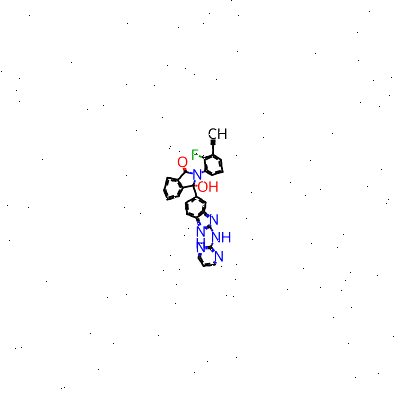 C#Cc1cccc(N2C(=O)c3ccccc3C2(O)c2ccc3[nH]c(Nc4ncccn4)nc3c2)c1F